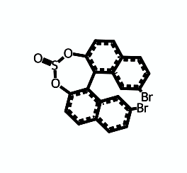 O=S1Oc2ccc3ccc(Br)cc3c2-c2c(ccc3ccc(Br)cc23)O1